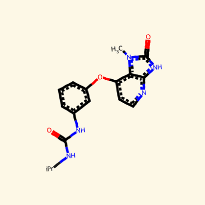 CC(C)NC(=O)Nc1cccc(Oc2ccnc3[nH]c(=O)n(C)c23)c1